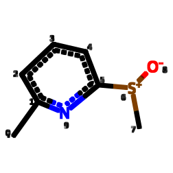 [CH2]c1cccc([S+](C)[O-])n1